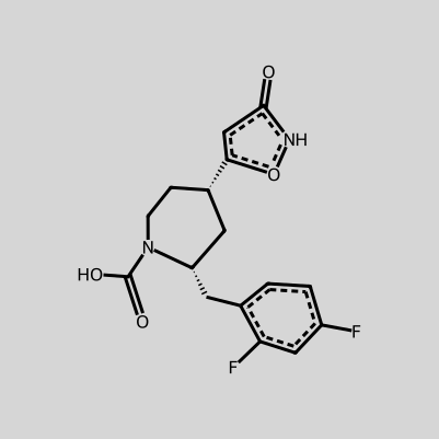 O=C(O)N1CC[C@H](c2cc(=O)[nH]o2)C[C@@H]1Cc1ccc(F)cc1F